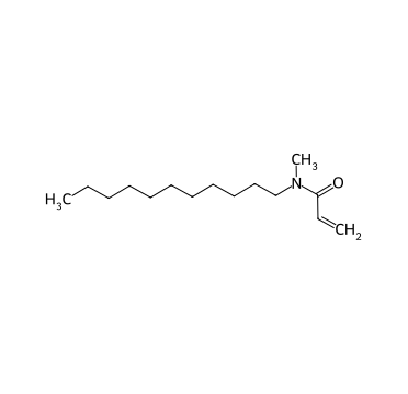 C=CC(=O)N(C)CCCCCCCCCCC